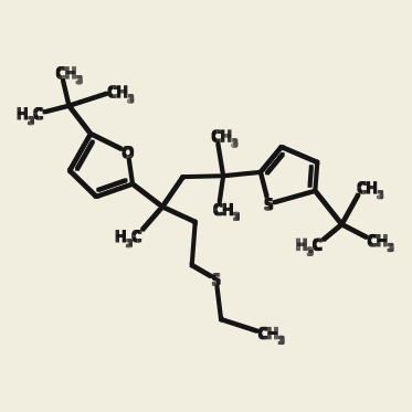 CCSCCC(C)(CC(C)(C)c1ccc(C(C)(C)C)s1)c1ccc(C(C)(C)C)o1